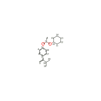 C=C(c1ccc(OC(C)OC2CCCCC2)cc1)C(C)C